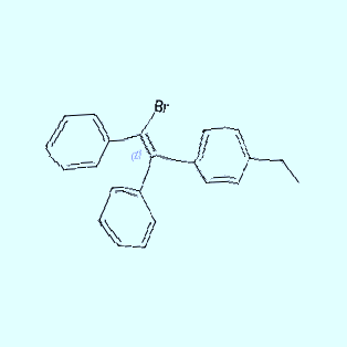 CCc1ccc(/C(=C(\Br)c2ccccc2)c2ccccc2)cc1